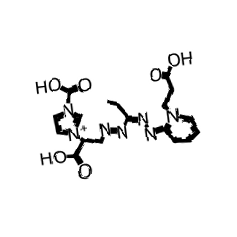 CCC(N=NCC(C(=O)O)[n+]1ccn(C(=O)O)c1)=NN=c1ccccn1CCC(=O)O